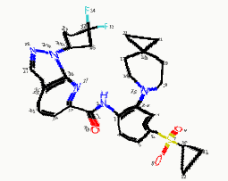 O=C(Nc1ccc(S(=O)(=O)C2CC2)cc1N1CCC2(CC1)CC2)c1ccc2cnn(C3CC(F)(F)C3)c2n1